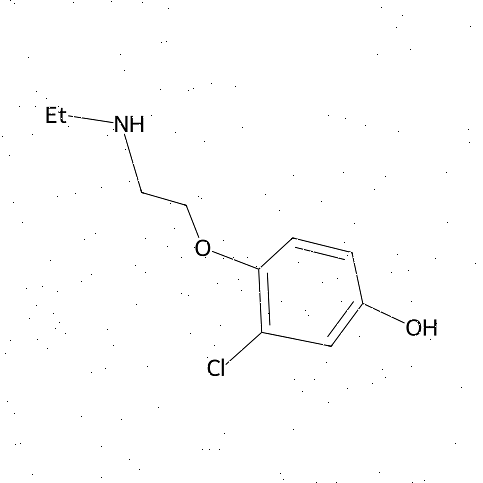 CCNCCOc1ccc(O)cc1Cl